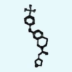 O=C(CC1CCOC1)N1CCc2ccc(Oc3ccc(C(F)(F)F)cc3)cc2C1